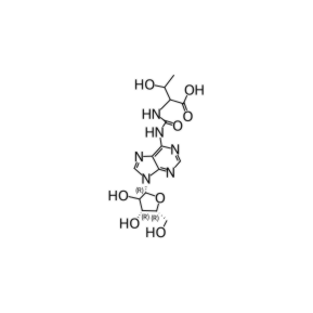 CC(O)C(NC(=O)Nc1ncnc2c1ncn2[C@@H]1O[C@H](CO)[C@H](O)C1O)C(=O)O